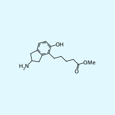 COC(=O)CCCCc1c(O)ccc2c1CC(N)C2